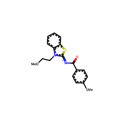 COCCn1/c(=N/C(=O)c2ccc(SC)cc2)sc2ccccc21